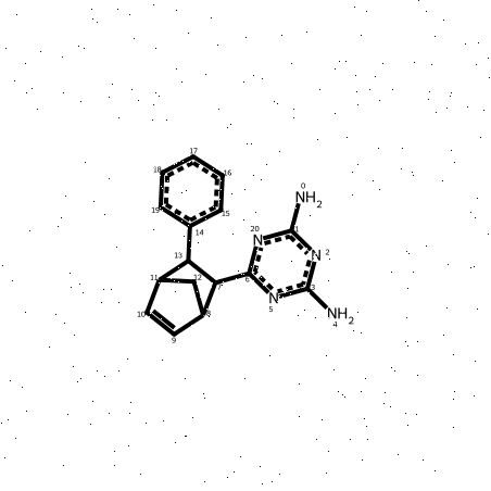 Nc1nc(N)nc(C2C3C=CC(C3)C2c2ccccc2)n1